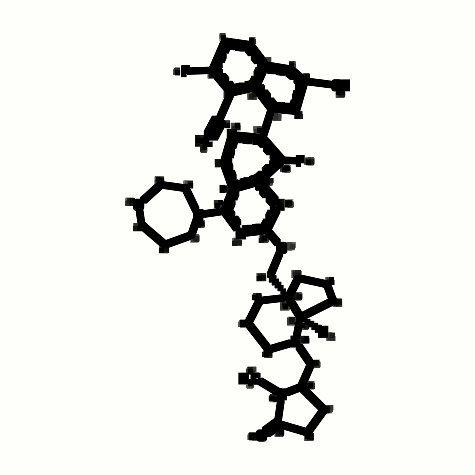 C#Cc1c(F)ccc2cc(O)cc(-c3ncc4c(N5CCCOCC5)nc(OC[C@]56CCC[C@H]5N(CC5CCC(=O)N5C)CCC6)nc4c3F)c12